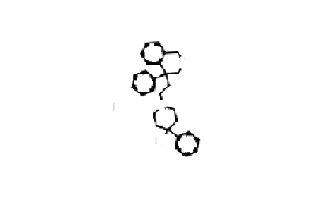 Cl.OC1(c2ccccc2)CCN(CCC2(c3ccccc3)COCc3ccccc32)CC1